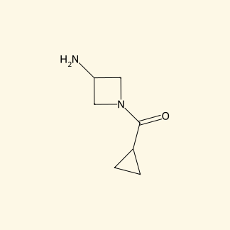 NC1CN(C(=O)C2CC2)C1